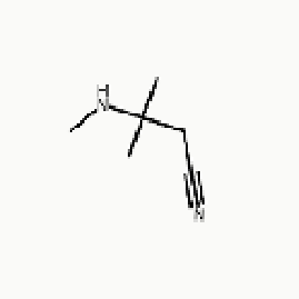 CNC(C)(C)CC#N